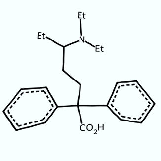 CCC(CCC(C(=O)O)(c1ccccc1)c1ccccc1)N(CC)CC